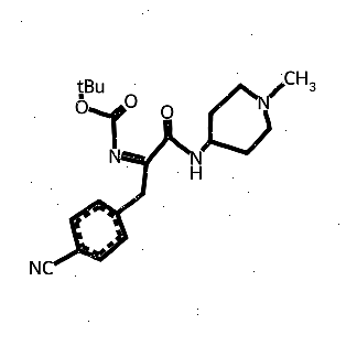 CN1CCC(NC(=O)/C(Cc2ccc(C#N)cc2)=N\C(=O)OC(C)(C)C)CC1